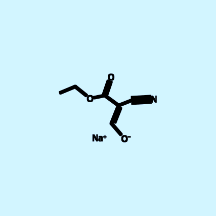 CCOC(=O)C(C#N)=C[O-].[Na+]